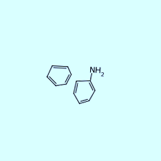 Nc1ccccc1.c1ccccc1